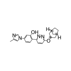 Cc1cn(-c2ccc(-c3ccc(O[C@H]4C[C@@H]5CC[C@@H](C5)C4)nn3)c(O)c2)cn1